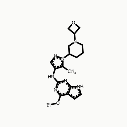 CCOc1nc(Nc2cnn(C3CCCN(C4COC4)C3)c2C)nc2[nH]ccc12